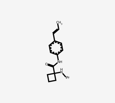 C/C=C/c1ccc(NC(=O)C2(NC(C)C)CCC2)cc1